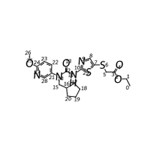 CCOC(=O)CSc1cnc(NC(=O)N(CC2CCCC2)c2ccc(OC)nc2)s1